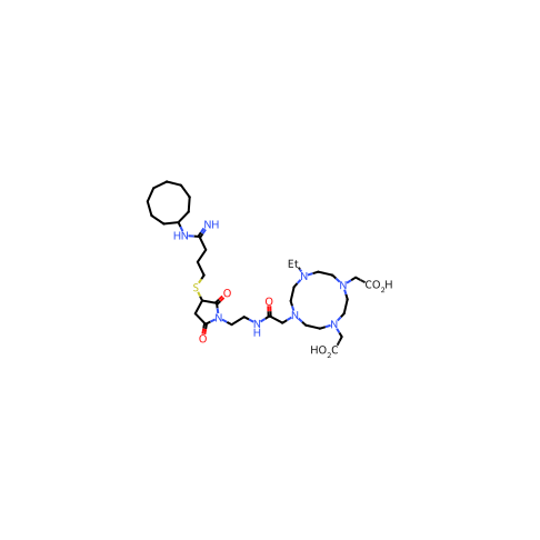 CCN1CCN(CC(=O)O)CCN(CC(=O)O)CCN(CC(=O)NCCN2C(=O)CC(SCCCC(=N)NC3CCCCCCCC3)C2=O)CC1